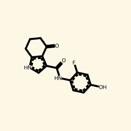 O=C(Nc1ccc(O)cc1F)c1c[nH]c2c1C(=O)CCC2